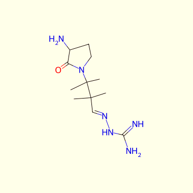 CC(C)(/C=N/NC(=N)N)C(C)(C)N1CCC(N)C1=O